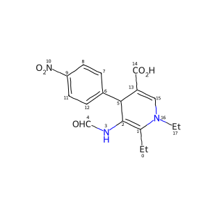 CCC1=C(NC=O)C(c2ccc([N+](=O)[O-])cc2)C(C(=O)O)=CN1CC